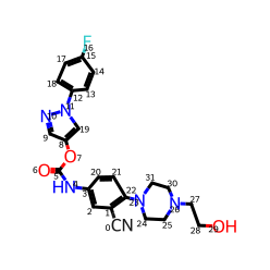 N#Cc1cc(NC(=O)Oc2cnn(-c3ccc(F)cc3)c2)ccc1N1CCN(CCO)CC1